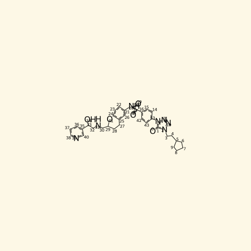 O=c1n(CCC2CCCC2)nnn1-c1ccc(S(=O)(=O)Nc2ccc3c(c2)CCC(CNCC(O)c2cccnc2)O3)cc1